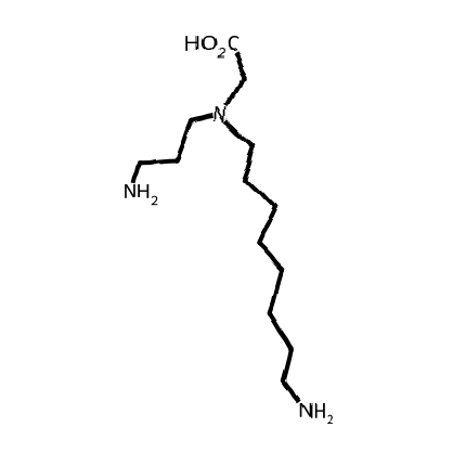 NCCCCCCCCN(CCCN)CC(=O)O